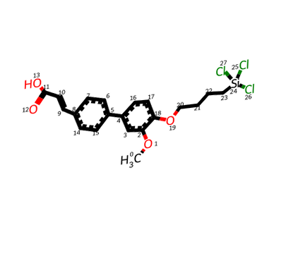 COc1cc(-c2ccc(/C=C/C(=O)O)cc2)ccc1OCCCC[Si](Cl)(Cl)Cl